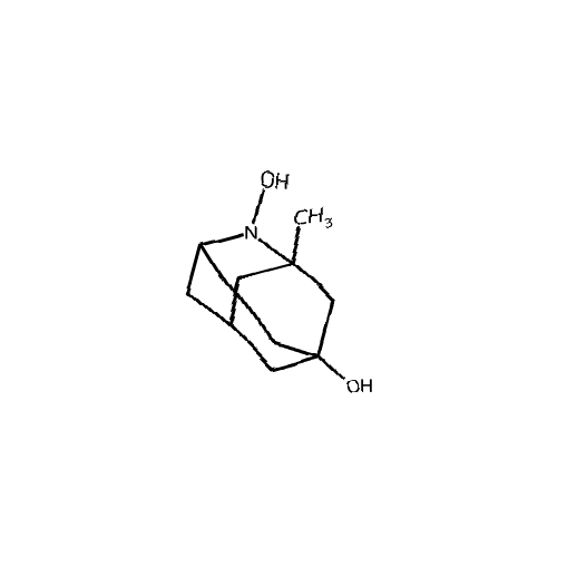 CC12CC3CC(CC(O)(C3)C1)N2O